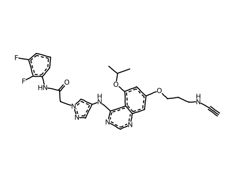 C#CNCCCOc1cc(OC(C)C)c2c(Nc3cnn(CC(=O)Nc4cccc(F)c4F)c3)ncnc2c1